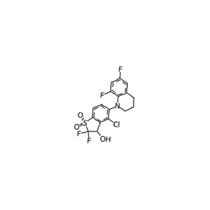 O=S1(=O)c2ccc(N3CCCc4cc(F)cc(F)c43)c(Cl)c2C(O)C1(F)F